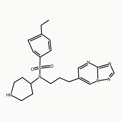 CCc1ccc(S(=O)(=O)N(CCCc2cnc3ncnn3c2)C2CCNCC2)cc1